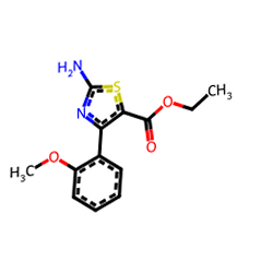 CCOC(=O)c1sc(N)nc1-c1ccccc1OC